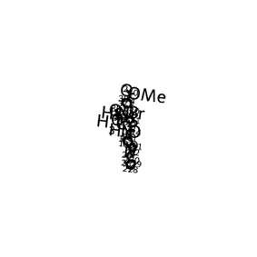 COC(=O)c1ccc(N(c2c(Br)sc(C(=O)Nc3ccc4c(ccn4Cc4ccccc4)c3)c2C)[SH](=O)=O)cc1